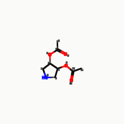 CC(=O)OC1CNCC1OC(C)=O